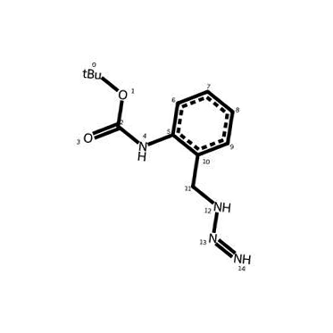 CC(C)(C)OC(=O)Nc1ccccc1CNN=N